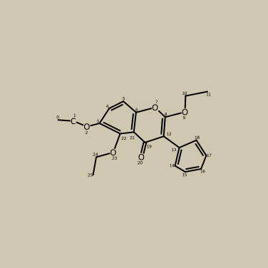 CCOc1ccc2oc(OCC)c(-c3ccccc3)c(=O)c2c1OCC